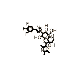 Cc1nc(C)c([C@@H](S[C@@H]2O[C@H](CO)[C@H](O)[C@H](n3cc(-c4cc(F)c(F)c(F)c4)nn3)[C@H]2O)C2(O)CCN(C)CC2)nc1C